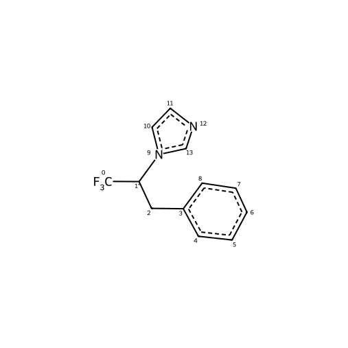 FC(F)(F)[C](Cc1ccccc1)n1ccnc1